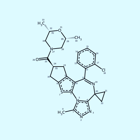 Cc1nnc2n1-c1sc3c(c1C(c1ccccc1Cl)=NC21CC1)C[C@H](C(=O)N1C[C@@H](C)O[C@@H](C)C1)C3